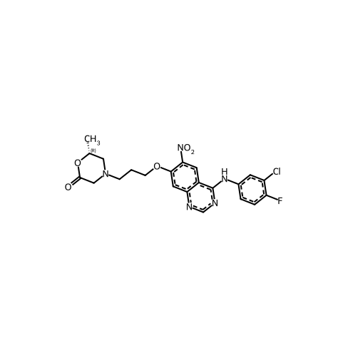 C[C@@H]1CN(CCCOc2cc3ncnc(Nc4ccc(F)c(Cl)c4)c3cc2[N+](=O)[O-])CC(=O)O1